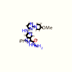 COC1CCN(c2nccc(Nc3cc4c(cn3)c(C(=O)NN)nn4C(C)C)n2)CC1